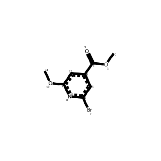 COC(=O)c1cc(Br)nc(OC)c1